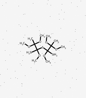 COC(C)(OC)C([SiH3])(OC)SC([SiH3])(OC)C(C)(OC)OC